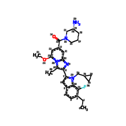 CCc1ccc2cc(-c3nc4cc(C(=O)N5CCC[C@@H](N)C5)cc(OC)n4c3C)n(CC3CC3)c2c1F